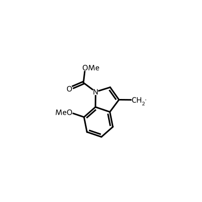 [CH2]c1cn(C(=O)OC)c2c(OC)cccc12